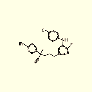 C#CC(C)(CCCc1ccc(F)c(Nc2ccc(Cl)cc2)c1)c1ccc(C(C)C)cc1